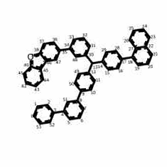 c1ccc(-c2cccc(-c3ccc(C(c4ccc(-c5cccc6ccccc56)cc4)c4cccc(-c5ccc6oc7ccccc7c6c5)c4)cc3)c2)cc1